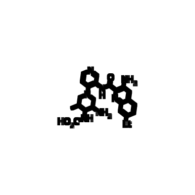 CCc1ccc2cc(N)c(C(=O)Nc3cnccc3N3CC(C)C(NC(=O)O)C(N)C3)nc2c1